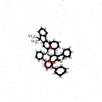 CC1(C)c2ccccc2-c2ccc(N(c3ccccc3-c3ccc(-c4ccccc4)cc3)c3c(-c4ccccc4)c4c5ccccc5sc4c4ccccc34)cc21